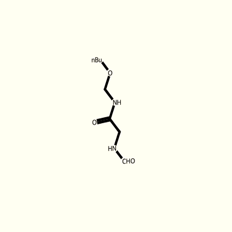 CCCCOCNC(=O)CNC=O